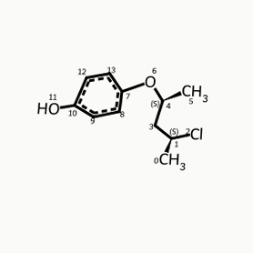 C[C@H](Cl)C[C@H](C)Oc1ccc(O)cc1